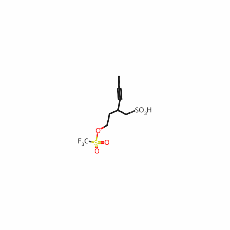 CC#CC(CCOS(=O)(=O)C(F)(F)F)CS(=O)(=O)O